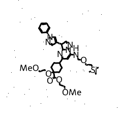 COCCOC(=O)C1(OCCOC)CCC(C2=NC3C(c4cnn(-c5ccccc5)c4)C=NN3C(NCOCC[Si](C)(C)C)=C2)CC1